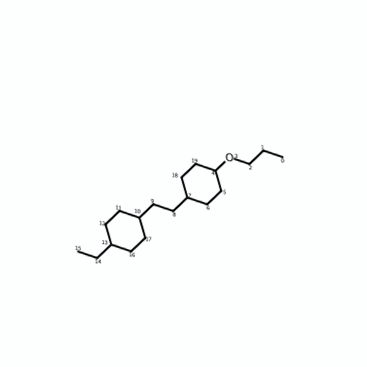 CCCOC1CCC(CCC2CCC(CC)CC2)CC1